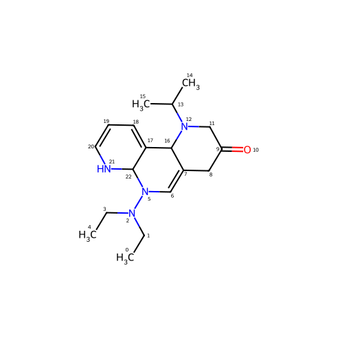 CCN(CC)N1C=C2CC(=O)CN(C(C)C)C2C2=CC=CNC21